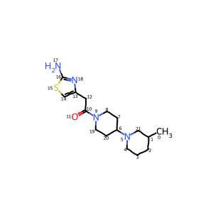 CC1CCCN(C2CCN(C(=O)Cc3csc(N)n3)CC2)C1